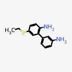 CCSc1ccc(N)c(-c2cccc(N)c2)c1